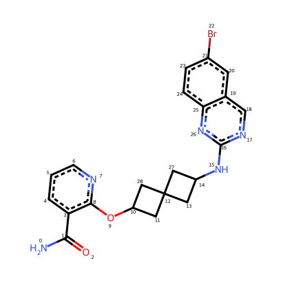 NC(=O)c1cccnc1OC1CC2(CC(Nc3ncc4cc(Br)ccc4n3)C2)C1